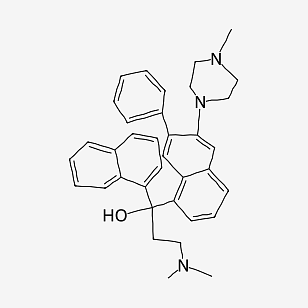 CN(C)CCC(O)(c1cccc2ccccc12)c1cccc2cc(N3CCN(C)CC3)c(-c3ccccc3)cc12